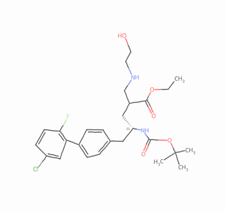 CCOC(=O)C(CNCCO)C[C@@H](Cc1ccc(-c2cc(Cl)ccc2F)cc1)NC(=O)OC(C)(C)C